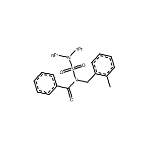 CCCN(CCC)S(=O)(=O)N(Cc1ccccc1C)C(=O)c1ccccc1